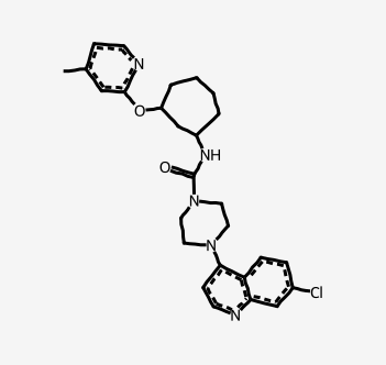 Cc1ccnc(OC2CCCCC(NC(=O)N3CCN(c4ccnc5cc(Cl)ccc45)CC3)C2)c1